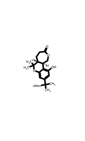 CCCCCCC(C)(C)c1cc(O)c2c(c1)OC(C)(C)[C@@H]1CCC(=O)OC[C@@H]21